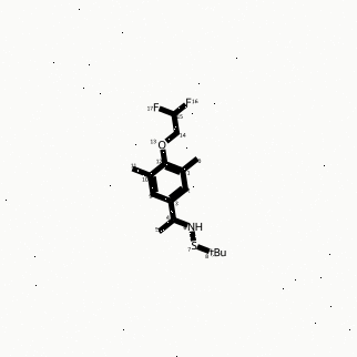 Cc1cc(C(C)NSC(C)(C)C)cc(C)c1OCC(F)F